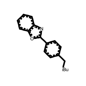 CCC(C)Cc1ccc(-c2nc3ccccc3o2)cc1